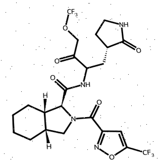 O=C(COC(F)(F)F)C(C[C@@H]1CCNC1=O)NC(=O)[C@@H]1[C@H]2CCCC[C@H]2CN1C(=O)c1cc(C(F)(F)F)on1